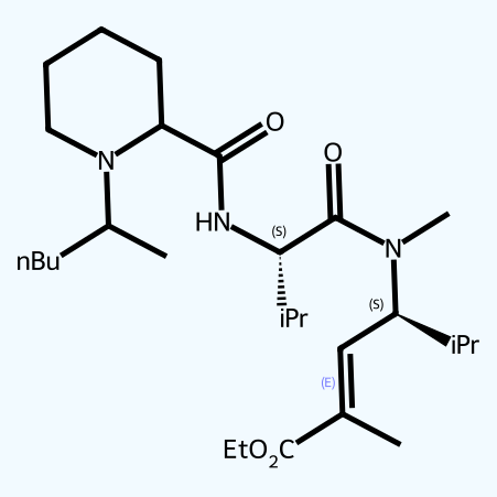 CCCCC(C)N1CCCCC1C(=O)N[C@H](C(=O)N(C)[C@H](/C=C(\C)C(=O)OCC)C(C)C)C(C)C